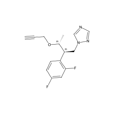 C#CCO[C@H](C)[C@@H](Cn1cncn1)c1ccc(F)cc1F